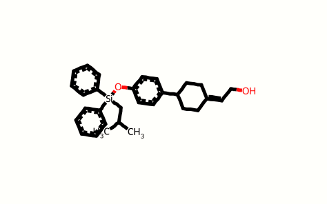 CC(C)C[Si](Oc1ccc(C2CCC(=CCO)CC2)cc1)(c1ccccc1)c1ccccc1